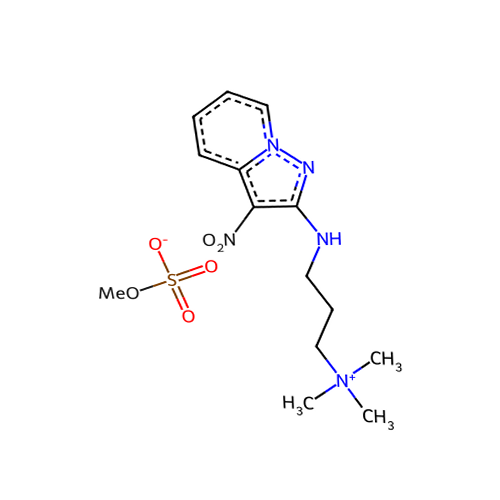 COS(=O)(=O)[O-].C[N+](C)(C)CCCNc1nn2ccccc2c1[N+](=O)[O-]